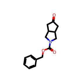 O=C1CC2CN(C(=O)OCc3ccccc3)CC2C1